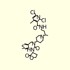 Cc1cc(Cl)nc(Cl)c1C(=O)NCCC(C)N1CCC(N(Cc2ccsc2)C(=O)NC2CCOC2=O)CC1